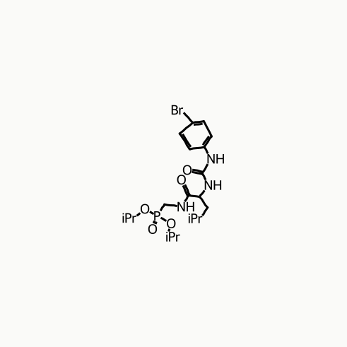 CC(C)CC(NC(=O)Nc1ccc(Br)cc1)C(=O)NCP(=O)(OC(C)C)OC(C)C